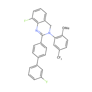 COc1ccc(C(F)(F)F)cc1N1[C]c2cccc(F)c2N=C1c1ccc(-c2cccc(F)c2)cc1